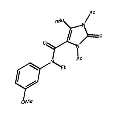 CCCCc1c(C(=O)N(CC)c2cccc(OC)c2)n(C(C)=O)c(=S)n1C(C)=O